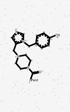 CCCCCC(=O)N1CCN(Cc2cncn2Cc2ccc(C#N)cc2)CC1